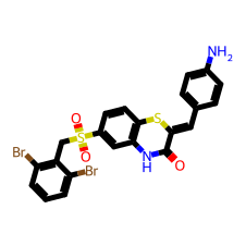 Nc1ccc(C=C2Sc3ccc(S(=O)(=O)Cc4c(Br)cccc4Br)cc3NC2=O)cc1